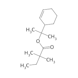 CCC(C)(C)C(=O)OC(C)(C)C1C=CCCC1